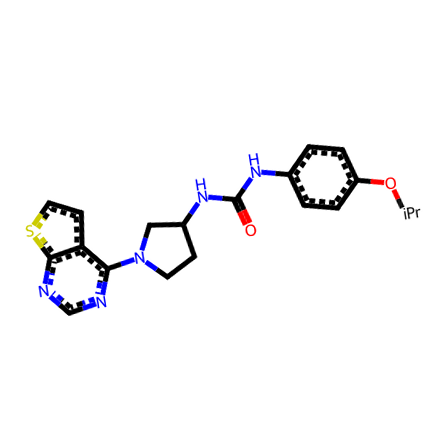 CC(C)Oc1ccc(NC(=O)NC2CCN(c3ncnc4sccc34)C2)cc1